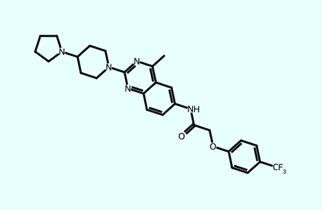 Cc1nc(N2CCC(N3CCCC3)CC2)nc2ccc(NC(=O)COc3ccc(C(F)(F)F)cc3)cc12